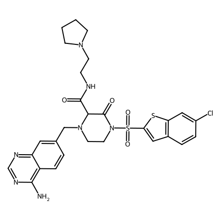 Nc1ncnc2cc(CN3CCN(S(=O)(=O)c4cc5ccc(Cl)cc5s4)C(=O)C3C(=O)NCCN3CCCC3)ccc12